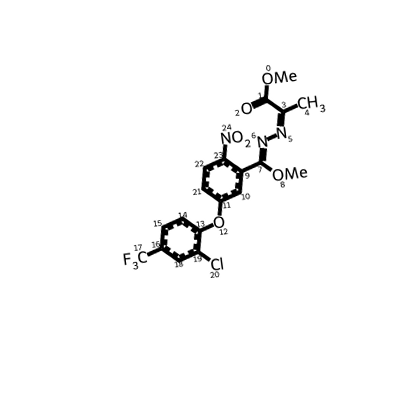 COC(=O)C(C)=NN=C(OC)c1cc(Oc2ccc(C(F)(F)F)cc2Cl)ccc1[N+](=O)[O-]